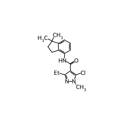 CCc1nn(C)c(Cl)c1C(=O)Nc1cccc2c1CCC2(C)C